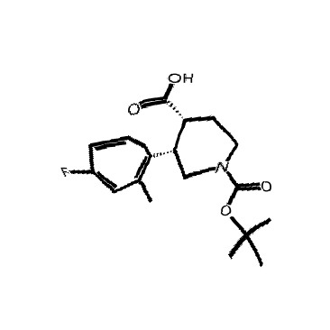 Cc1cc(F)ccc1[C@H]1CN(C(=O)OC(C)(C)C)CC[C@H]1C(=O)O